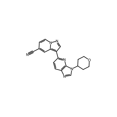 N#Cc1ccn2ncc(-c3ccc4ncn(C5CCOCC5)c4n3)c2c1